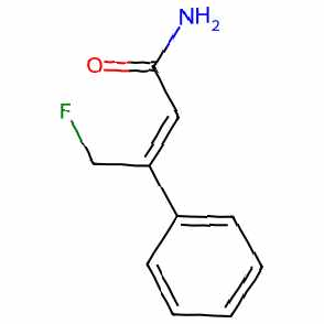 NC(=O)C=C(CF)c1ccccc1